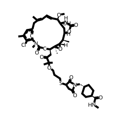 CNC(=O)[C@H]1CC[C@H](CN2C(=O)CC(SCCCOC(C)(C)C(=O)C[C@H]3CC(=O)N(C)c4cc(cc(C)c4Cl)C/C(C)=C/C=C/[C@@H](OC)[C@@]4(O)C[C@H](OC(=O)N4)[C@@H](C)[C@@H]4O[C@@]34C)C2=O)CC1